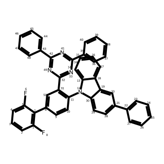 Fc1cccc(F)c1-c1ccc(-n2c3ccccc3c3cc(-c4ccccc4)ccc32)c(-c2nc(-c3ccccc3)nc(-c3ccccc3)n2)c1